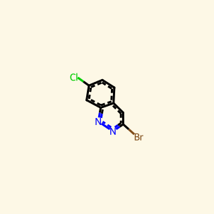 Clc1ccc2cc(Br)nnc2c1